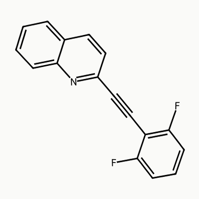 Fc1cccc(F)c1C#Cc1ccc2ccccc2n1